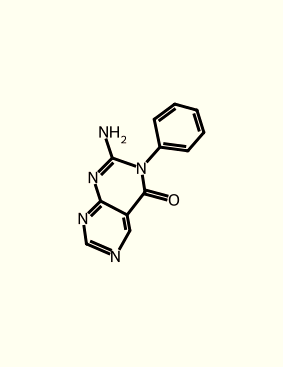 Nc1nc2ncncc2c(=O)n1-c1ccccc1